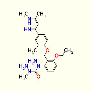 CCOc1cccc(N(N)C(=O)N(C)N)c1COc1ccc(C(=N)/C=C(/C)NC)cc1C